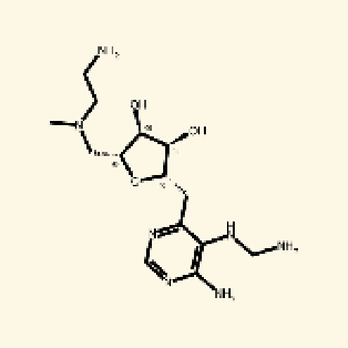 CN(CCN)C[C@H]1O[C@@H](Cc2ncnc(N)c2NCN)[C@H](O)[C@@H]1O